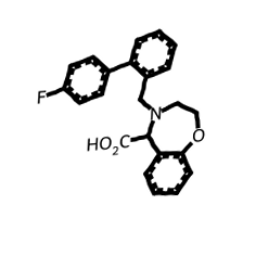 O=C(O)C1c2ccccc2OCCN1Cc1ccccc1-c1ccc(F)cc1